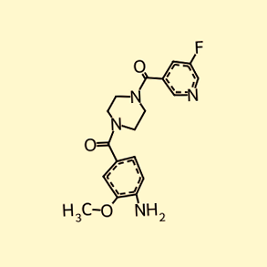 COc1cc(C(=O)N2CCN(C(=O)c3cncc(F)c3)CC2)ccc1N